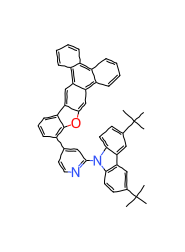 CC(C)(C)c1ccc2c(c1)c1cc(C(C)(C)C)ccc1n2-c1cc(-c2cccc3c2oc2cc4c5ccccc5c5ccccc5c4cc23)ccn1